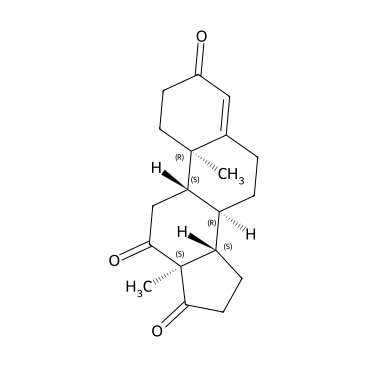 C[C@@]12C(=O)CC[C@H]1[C@@H]1CCC3=CC(=O)CC[C@]3(C)[C@H]1CC2=O